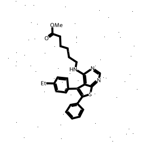 CCc1ccc(-c2c(-c3ccccc3)sc3ncnc(NCCCCCC(=O)OC)c23)cc1